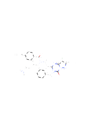 CCC(Cc1nc2c(Cl)c(C)nn2c(=O)n1Cc1ccccc1)N(CCCCN(C)C)C(=O)c1ccc(C)cc1